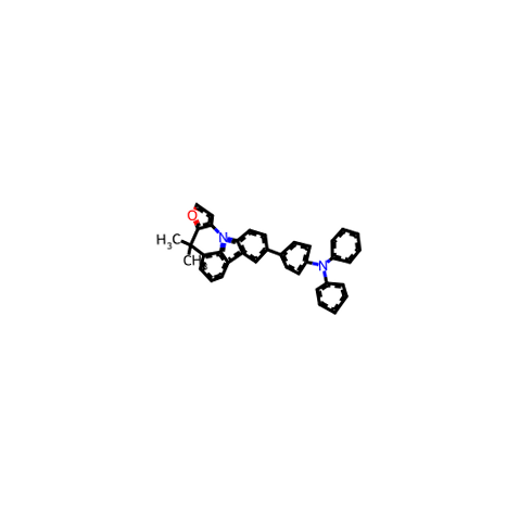 CC1(C)c2occc2-n2c3ccc(-c4ccc(N(c5ccccc5)c5ccccc5)cc4)cc3c3cccc1c32